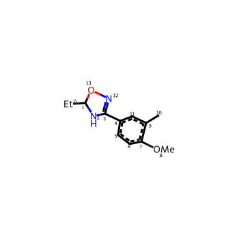 CCC1NC(c2ccc(OC)c(C)c2)=NO1